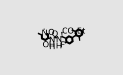 CCOC(=O)C[C@H](NC(=O)Nc1c(O)cc(C)n(C)c1=O)c1cc(-c2c(C)cccc2C)ccc1F